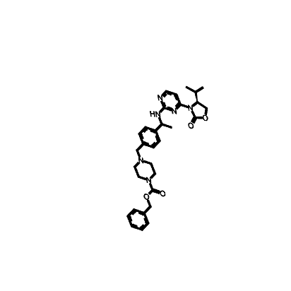 CC(Nc1nccc(N2C(=O)OC[C@@H]2C(C)C)n1)c1ccc(CN2CCN(C(=O)OCc3ccccc3)CC2)cc1